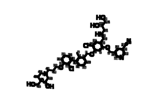 Cc1c(COc2cc(OCc3cncc(C#N)c3)c(CNC[C@H](O)CO)cc2Cl)cccc1-c1cccc(OCCCN2CC[C@H](CO)[C@H](O)C2)c1Cl